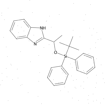 CC(O[Si](c1ccccc1)(c1ccccc1)C(C)(C)C)c1nc2ccccc2[nH]1